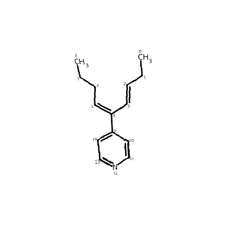 CCC=CC(=CCCC)c1ccncc1